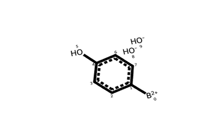 [B+2]c1ccc(O)cc1.[OH-].[OH-]